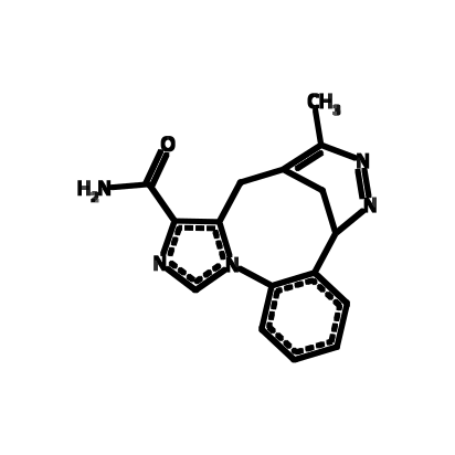 CC1=C2Cc3c(C(N)=O)ncn3-c3ccccc3C(C2)N=N1